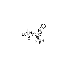 CCN/C(S)=N/N=C(/C(C)=N/N=C(\S)NCC)[C@@H]1CN(Cc2ccccc2)CCO1